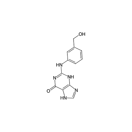 O=c1nc(Nc2cccc(CO)c2)[nH]c2nc[nH]c12